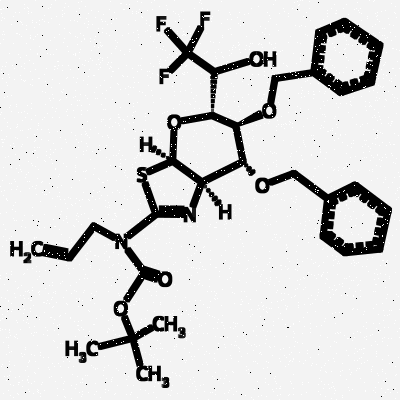 C=CCN(C(=O)OC(C)(C)C)C1=N[C@@H]2[C@@H](OCc3ccccc3)[C@H](OCc3ccccc3)[C@@H](C(O)C(F)(F)F)O[C@@H]2S1